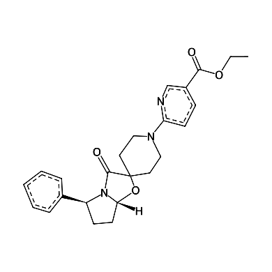 CCOC(=O)c1ccc(N2CCC3(CC2)O[C@@H]2CC[C@@H](c4ccccc4)N2C3=O)nc1